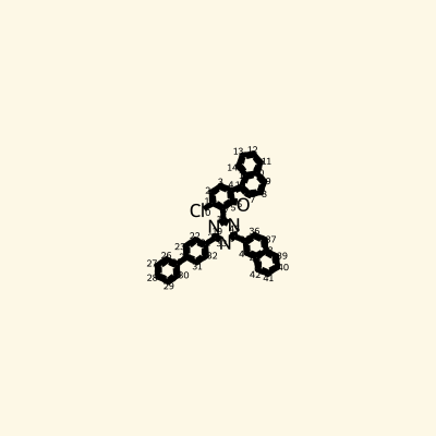 Clc1ccc2c(oc3ccc4ccccc4c32)c1-c1nc(-c2ccc(-c3ccccc3)cc2)nc(-c2ccc3ccccc3c2)n1